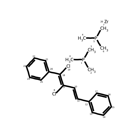 CP(C)C.CP(C)C.ClC(C=Cc1ccccc1)=C(Cl)c1ccccc1.[Zr]